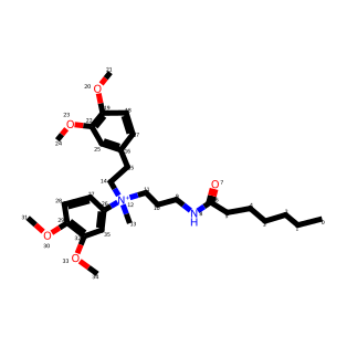 CCCCCCC(=O)NCCC[N+](C)(CCc1ccc(OC)c(OC)c1)c1ccc(OC)c(OC)c1